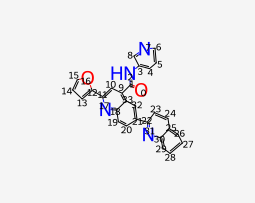 O=C(Nc1cccnc1)c1cc(-c2ccco2)nc2ccc(-c3ccc4ccccc4n3)cc12